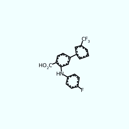 O=C(O)c1ccc(-c2cccc(C(F)(F)F)c2)cc1Nc1ccc(F)cc1